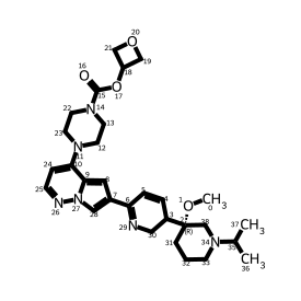 CO[C@@]1(C2C=CC(c3cc4c(N5CCN(C(=O)OC6COC6)CC5)ccnn4c3)=NC2)CCCN(C(C)C)C1